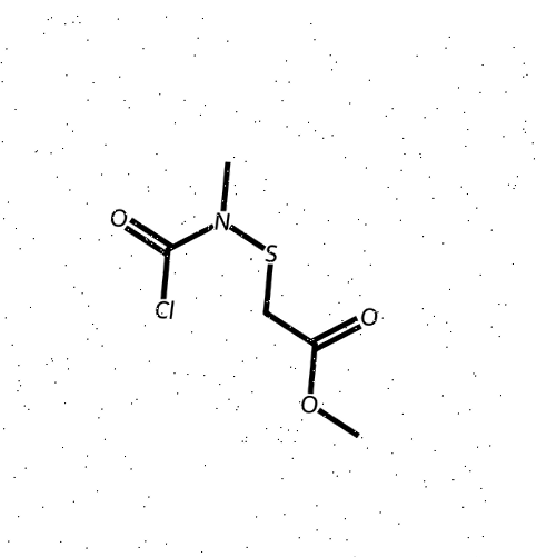 COC(=O)CSN(C)C(=O)Cl